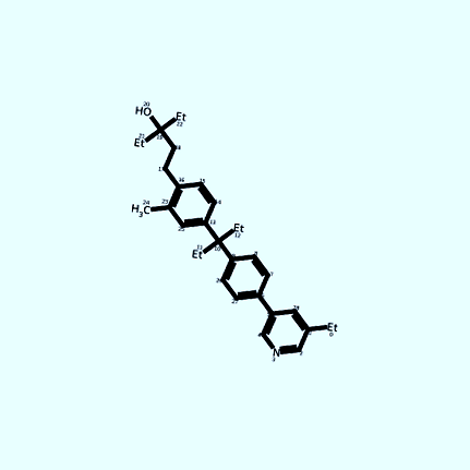 CCc1cncc(-c2ccc(C(CC)(CC)c3ccc(CCC(O)(CC)CC)c(C)c3)cc2)c1